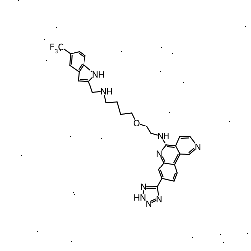 FC(F)(F)c1ccc2[nH]c(CNCCCCOCCNc3nc4cc(-c5nn[nH]n5)ccc4c4cnccc34)cc2c1